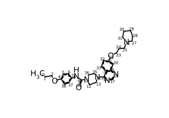 CCCOc1ccc(NC(=O)N2CCN(c3ncnc4cc(OCCCN5CCCCC5)ccc34)CC2)cc1